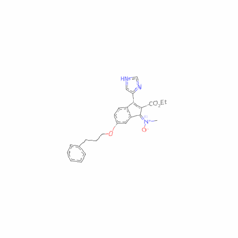 CCOC(=O)C1=C(c2c[nH]cn2)c2ccc(OCCCc3ccccc3)cc2/C1=[N+](/C)[O-]